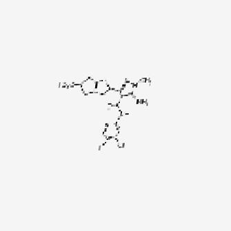 Cn1nc(C2CC3CN(C(=O)O)CC3C2)c(C(=O)Nc2ccc(F)c(Cl)c2)c1N